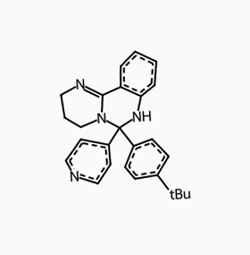 CC(C)(C)c1ccc(C2(c3ccncc3)Nc3ccccc3C3=NCCCN32)cc1